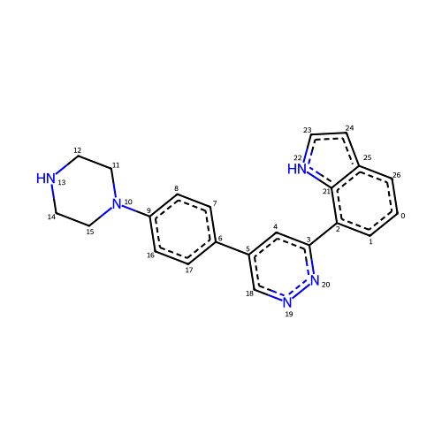 c1cc(-c2cc(-c3ccc(N4CCNCC4)cc3)cnn2)c2[nH]ccc2c1